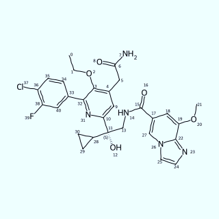 CCOc1c(CC(N)=O)cc([C@@](O)(CNC(=O)c2cc(OC)c3nccn3c2)C2CC2)nc1-c1ccc(Cl)c(F)c1